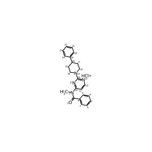 CN(C(=O)c1ccccc1)c1ccnc(N2CCC(c3ccccc3)CC2)n1.Cl